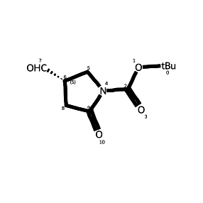 CC(C)(C)OC(=O)N1C[C@@H](C=O)CC1=O